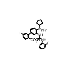 CCCN(c1ccc(-c2cc(F)ccc2C(=O)O)cc1NC(=O)Nc1ccccc1F)C1CCCC1